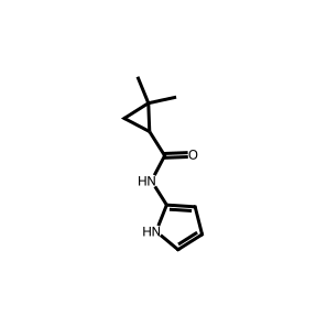 CC1(C)CC1C(=O)Nc1ccc[nH]1